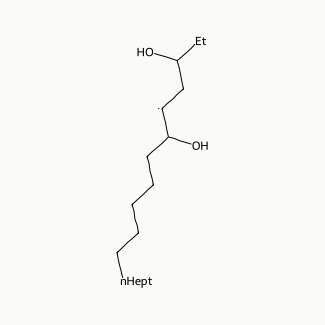 CCCCCCCCCCCCC(O)[CH]CC(O)CC